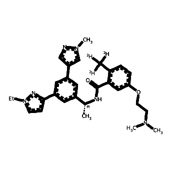 [2H]C([2H])([2H])c1ccc(OCCN(C)C)cc1C(=O)N[C@H](C)c1cc(-c2cnn(C)c2)cc(-c2ccn(CC)n2)c1